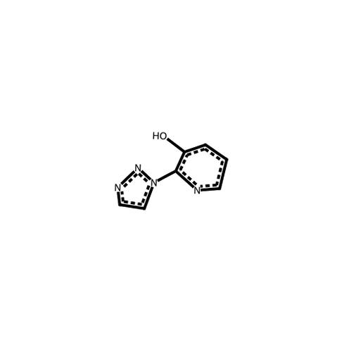 Oc1cccnc1-n1ccnn1